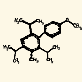 COc1ccc(-c2c(C(C)C)cc(C(C)C)c(C)c2C(C)C)cc1